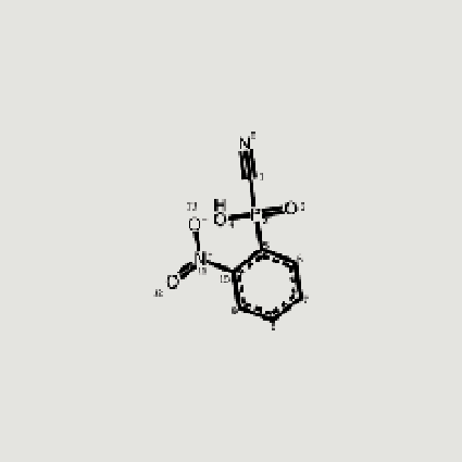 N#CP(=O)(O)c1ccccc1[N+](=O)[O-]